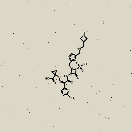 Nc1nc(C(=NOC2(C(=O)O)CC2)C(=O)N[C@@H]2C(=O)N(S(=O)(=O)O)[C@@H]2Cn2ncc(CNCC3CNC3)n2)cs1